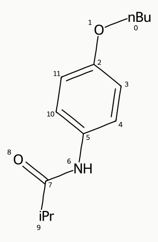 CCCCOc1ccc(NC(=O)C(C)C)cc1